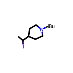 CCC(C)N1CCC(C(C)I)CC1